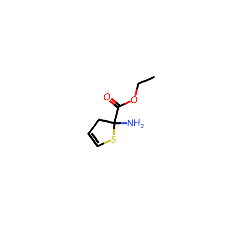 CCOC(=O)C1(N)CC=CS1